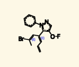 C=C/C=C(\C=C(/C)Br)c1c(OF)cnn1-c1ccccc1